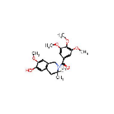 COc1cc2c(cc1O)CC(C)(C)N(C(=O)c1cc(OC)c(OC)c(OC)c1)C2